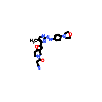 Cc1cnc(N=Nc2ccc(N3CCOCC3)cc2)nc1-c1cc2c(o1)CCN(C(=O)CC#N)C2